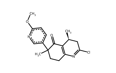 COc1ccc(C2(C)CCC3=C(C2=O)[C@@H](C)CC(Cl)=N3)cn1